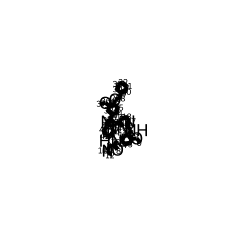 COc1ccc(NC(=O)CN(C)C)cc1Nc1nccc(-c2c(-c3ccc(OCc4ccccc4)c(OC)c3)nc3ccccn23)n1